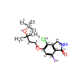 CC[Si](CC)(CC)OC(C)(C)CCOc1cc(I)c2c(c1Cl)CNC2=O